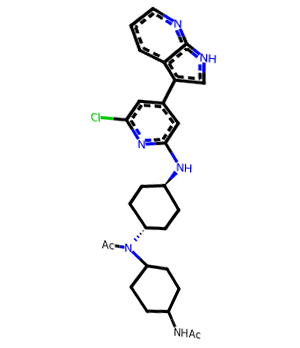 CC(=O)NC1CCC(N(C(C)=O)[C@H]2CC[C@H](Nc3cc(-c4c[nH]c5ncccc45)cc(Cl)n3)CC2)CC1